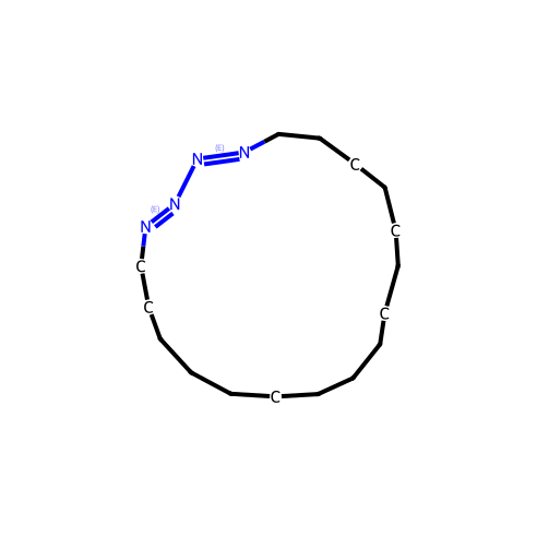 C1CCCCCCCC/N=N/N=N/CCCCCCC1